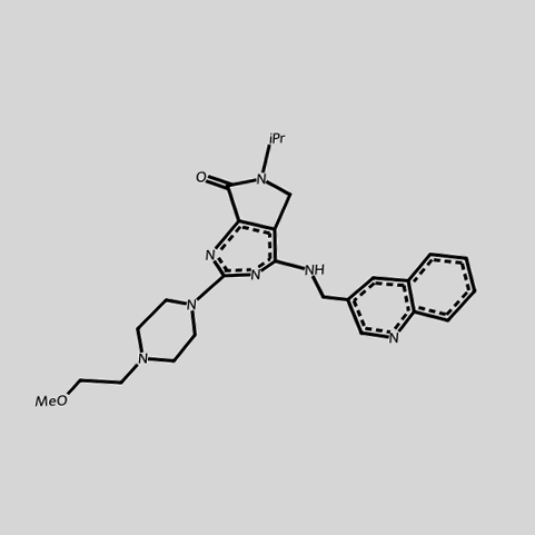 COCCN1CCN(c2nc(NCc3cnc4ccccc4c3)c3c(n2)C(=O)N(C(C)C)C3)CC1